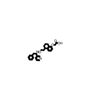 O=C(O)COc1cccc2c1CCCC2CCON=C(Cc1ccccc1)c1cccnc1